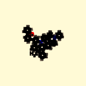 CC1(c2ccccc2)c2ccccc2-c2ccc(N(c3ccc(-c4cccc5c4oc4ccccc45)cc3)c3cccc4c3-c3ccccc3C43c4ccccc4N(c4ccccc4)c4ccccc43)cc21